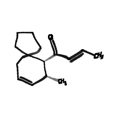 CC=CC(=O)[C@@H]1[C@H](C)C=CCC12CCCC2